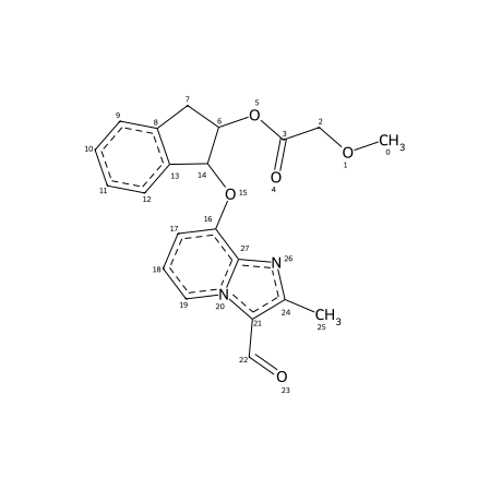 COCC(=O)OC1Cc2ccccc2C1Oc1cccn2c(C=O)c(C)nc12